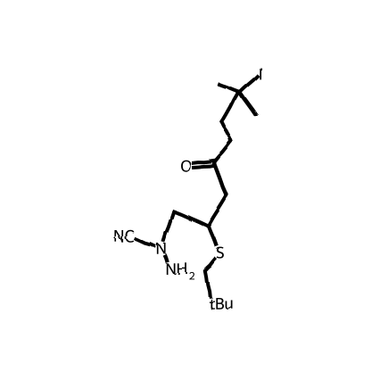 CC(C)(C)CSC(CC(=O)CCC(C)(C)I)CN(N)C#N